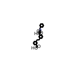 O=C(O)c1cccc(CCc2cccc(NS(=O)(=O)/C=C/c3ccccc3)c2)c1